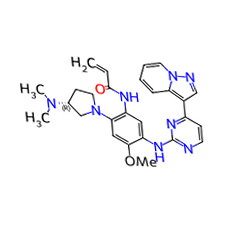 C=CC(=O)Nc1cc(Nc2nccc(-c3cnn4ccccc34)n2)c(OC)cc1N1CC[C@@H](N(C)C)C1